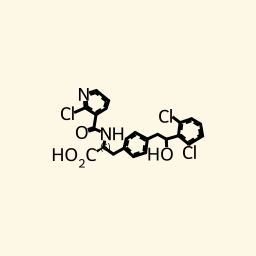 O=C(N[C@@H](Cc1ccc(CC(O)c2c(Cl)cccc2Cl)cc1)C(=O)O)c1cccnc1Cl